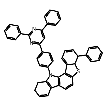 C1=CC(c2ccccc2)C2Sc3ccc4c5c(n(-c6ccc(-c7cc(-c8ccccc8)nc(-c8ccccc8)n7)cc6)c4c3C2=C1)CCC=C5